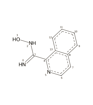 N=C(NO)c1nccc2ccccc12